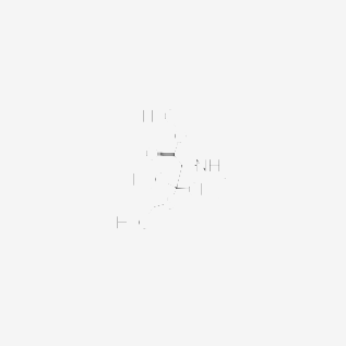 CCSC(C)(C)[C@@H](N)C(=O)OC